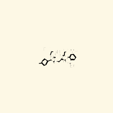 CCOc1ccccc1-n1nc(Cn2nc(-c3ccc(Cl)cc3)n(CC(O)C(F)(F)F)c2=O)nc1C(=O)OC